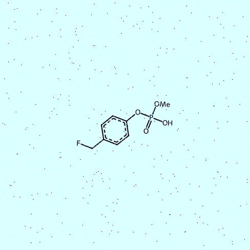 COP(=O)(O)Oc1ccc(CF)cc1